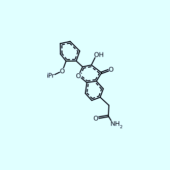 CC(C)Oc1ccccc1-c1oc2ccc(CC(N)=O)cc2c(=O)c1O